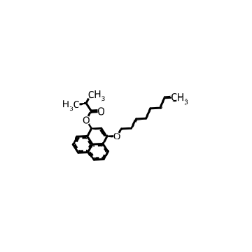 CCCCCCCCOC1=CC(OC(=O)C(C)C)c2cccc3cccc1c23